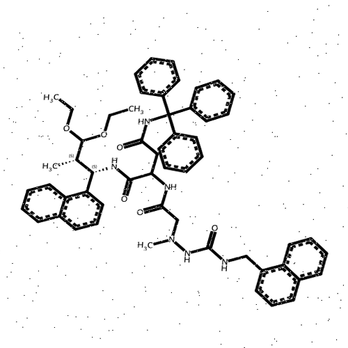 CCOC(OCC)[C@@H](C)[C@H](NC(=O)C(CC(=O)NC(c1ccccc1)(c1ccccc1)c1ccccc1)NC(=O)CN(C)NC(=O)NCc1cccc2ccccc12)c1cccc2ccccc12